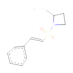 O=C(O)C1CCN1S(=O)(=O)/C=C/c1ccccc1